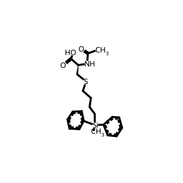 CC(=O)N[C@@H](CSCCCC[Si](C)(c1ccccc1)c1ccccc1)C(=O)O